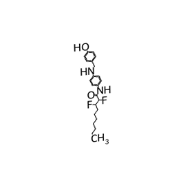 CCCCCCCC(F)C(F)C(=O)Nc1ccc(NCc2ccc(O)cc2)cc1